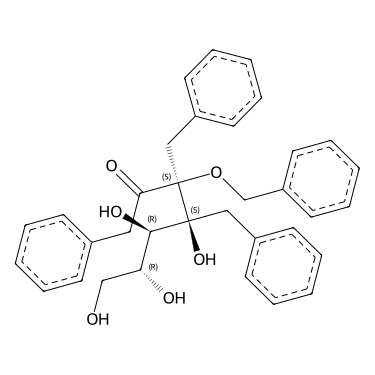 O=C(Cc1ccccc1)[C@@](Cc1ccccc1)(OCc1ccccc1)[C@](O)(Cc1ccccc1)[C@H](O)[C@H](O)CO